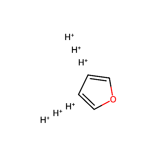 [H+].[H+].[H+].[H+].[H+].[H+].c1ccoc1